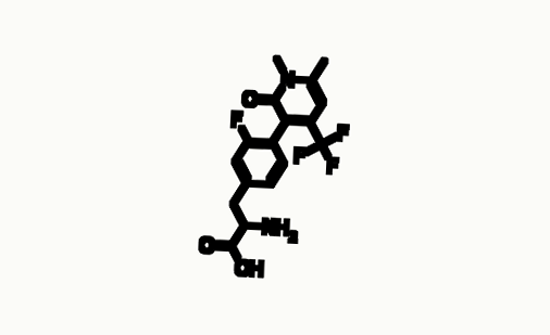 Cc1cc(C(F)(F)F)c(-c2ccc(CC(N)C(=O)O)cc2F)c(=O)n1C